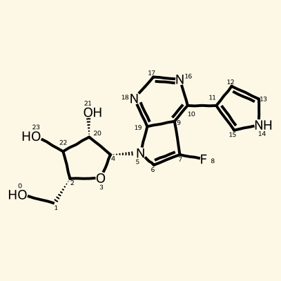 OC[C@H]1O[C@@H](n2cc(F)c3c(-c4cc[nH]c4)ncnc32)[C@@H](O)C1O